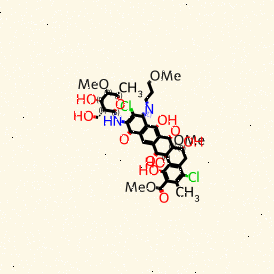 COCCC/N=C1\C(Cl)=C(N[C@H]2O[C@@H](C)[C@H](OC)[C@@H](O)[C@H]2CO)C(=O)c2cc3c(c(O)c21)C(=O)[C@]1(OC)[C@H](O)Cc2c(Cl)c(C)c(C(=O)OC)c(O)c2[C@]1(O)C3=O